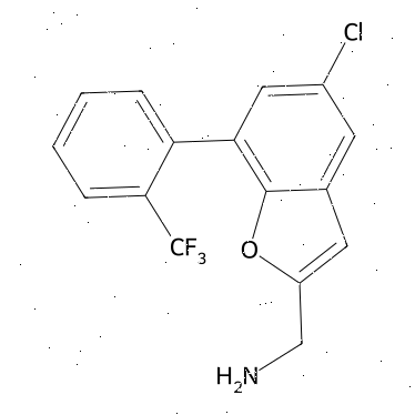 NCc1cc2cc(Cl)cc(-c3ccccc3C(F)(F)F)c2o1